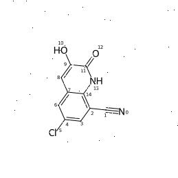 N#Cc1cc(Cl)cc2cc(O)c(=O)[nH]c12